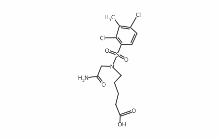 Cc1c(Cl)ccc(S(=O)(=O)N(CCCCC(=O)O)CC(N)=O)c1Cl